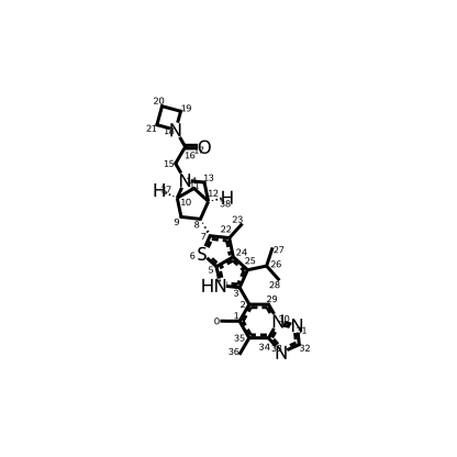 Cc1c(-c2[nH]c3sc([C@@H]4C[C@@H]5C[C@H]4CN5CC(=O)N4CCC4)c(C)c3c2C(C)C)cn2ncnc2c1C